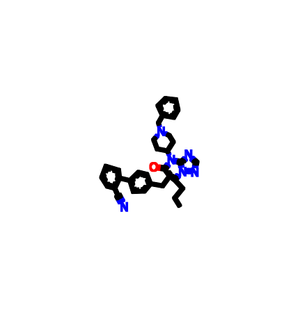 CCCc1c(Cc2ccc(-c3ccccc3C#N)cc2)c(=O)n(C2CCN(Cc3ccccc3)CC2)c2ncnn12